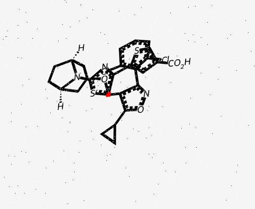 O=C(O)c1csc(-c2csc(N3[C@@H]4CC[C@H]3C[C@@H](OCc3c(-c5c(Cl)cccc5Cl)noc3C3CC3)C4)n2)c1